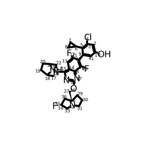 Oc1cc(Cl)c(C2CC2)c(-c2c(F)cc3c(N4CC5CCC(C4)N5)nc(OC[C@@]45CCCN4C[C@H](F)C5)nc3c2F)c1